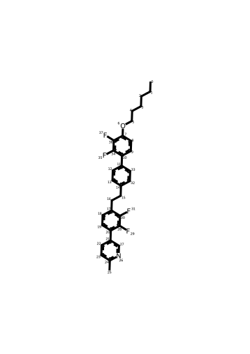 CCCCCCOc1ccc(-c2ccc(CCc3ccc(-c4ccc(C)nc4)c(F)c3F)cc2)c(F)c1F